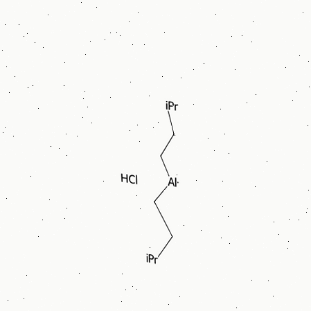 CC(C)C[CH2][Al][CH2]CC(C)C.Cl